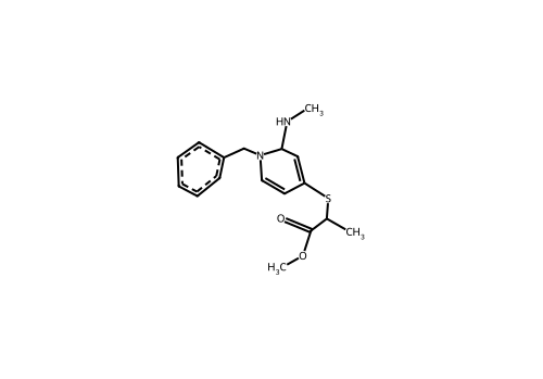 CNC1C=C(SC(C)C(=O)OC)C=CN1Cc1ccccc1